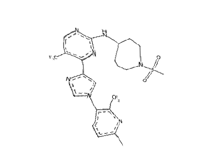 Cc1ccc(-n2cnc(-c3nc(NC4CCN(S(C)(=O)=O)CC4)ncc3C(F)(F)F)c2)c(C(F)(F)F)n1